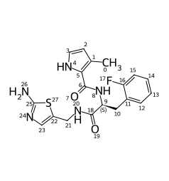 Cc1cc[nH]c1C(=O)N[C@@H](Cc1ccccc1F)C(=O)NCc1cnc(N)s1